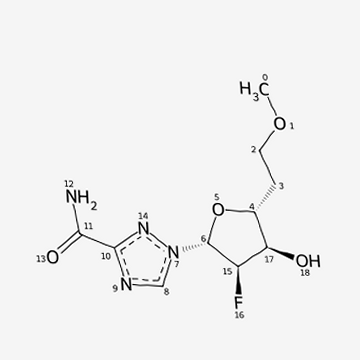 COCC[C@H]1O[C@@H](n2cnc(C(N)=O)n2)[C@H](F)[C@@H]1O